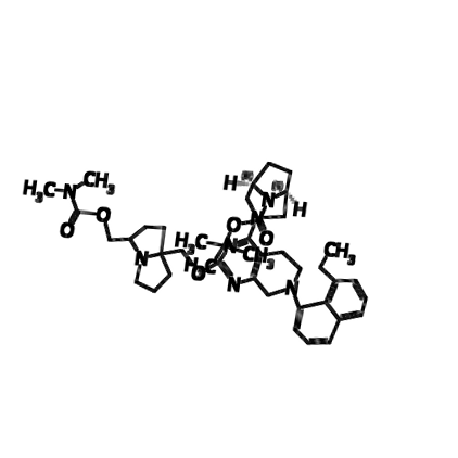 CCc1cccc2cccc(N3CCc4c(nc(OCC56CCCN5C(COC(=O)N(C)C)CC6)nc4N4C[C@H]5CC[C@@H](C4)N5C(=O)OC(C)(C)C)C3)c12